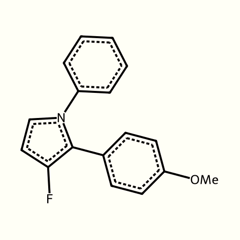 COc1ccc(-c2c(F)ccn2-c2ccccc2)cc1